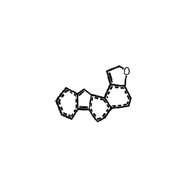 C1=c2ccccc2=c2ccc3ccc4c(c3c21)=CCO4